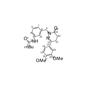 CCCCC(=O)Nc1cccc(CN2N=C(c3ccc(OC)c(OC)c3)CCC2=O)c1